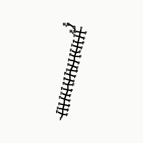 FC(F)(F)C(F)(F)C(F)(F)C(F)(F)C(F)(F)C(F)(F)C(F)(F)C(F)(F)C(F)(F)C(F)(F)C(F)(F)C(F)(F)C(F)(F)C(F)(F)C(F)(F)C(F)(F)C(F)(F)C(F)(F)[SiH2]O[SiH3]